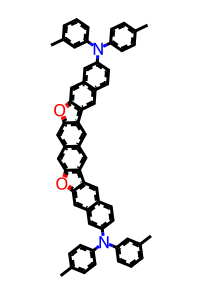 Cc1ccc(N(c2cccc(C)c2)c2ccc3cc4c(cc3c2)oc2cc3cc5oc6cc7cc(N(c8ccc(C)cc8)c8cccc(C)c8)ccc7cc6c5cc3cc24)cc1